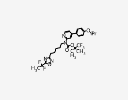 CC(C)Oc1ccc(-c2ccnc(N(CCCCCc3noc(C(C)(F)F)n3)C(=O)OC(C)(C)C(F)(F)F)c2)cc1